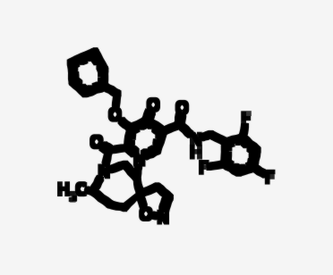 CC1CC[C@]2(CC=NO2)C2CN1C(=O)c1c(OCc3ccccc3)c(=O)c(C(=O)NCc3c(F)cc(F)cc3F)cn12